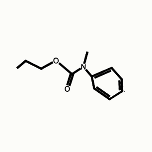 CCCOC(=O)N(C)c1cc[c]cc1